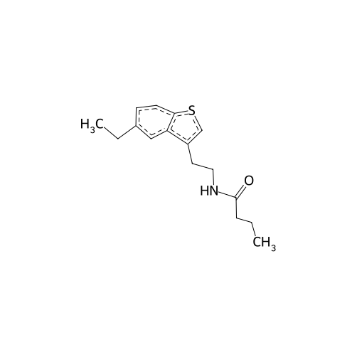 CCCC(=O)NCCc1csc2ccc(CC)cc12